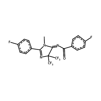 CN1C(c2ccc(F)cc2)=NC(C(F)(F)F)(C(F)(F)F)C1=NC(=O)c1ccc(F)cc1